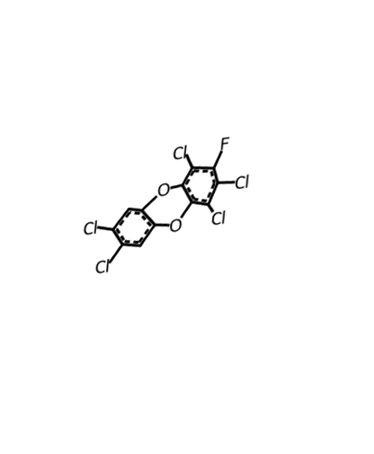 Fc1c(Cl)c(Cl)c2c(c1Cl)Oc1cc(Cl)c(Cl)cc1O2